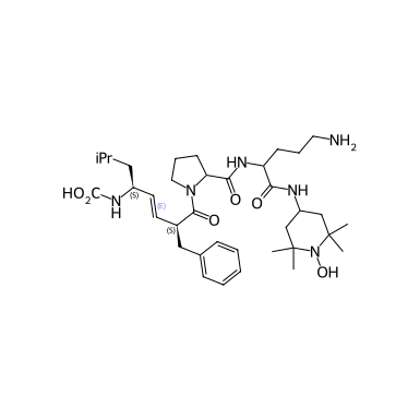 CC(C)C[C@@H](/C=C/[C@H](Cc1ccccc1)C(=O)N1CCCC1C(=O)NC(CCCN)C(=O)NC1CC(C)(C)N(O)C(C)(C)C1)NC(=O)O